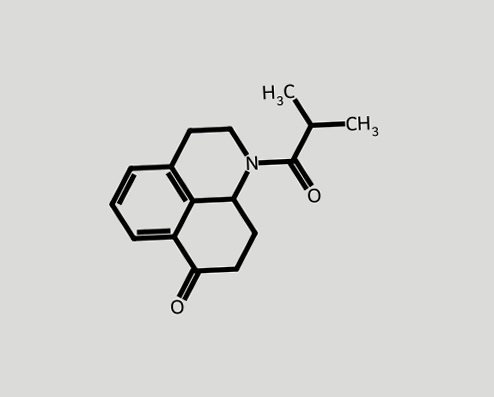 CC(C)C(=O)N1CCc2cccc3c2C1CCC3=O